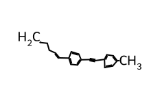 C=CCCC=Cc1ccc(C#Cc2ccc(C)cc2)cc1